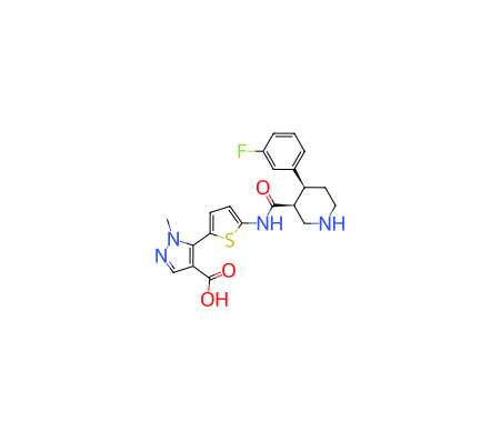 Cn1ncc(C(=O)O)c1-c1ccc(NC(=O)[C@@H]2CNCC[C@@H]2c2cccc(F)c2)s1